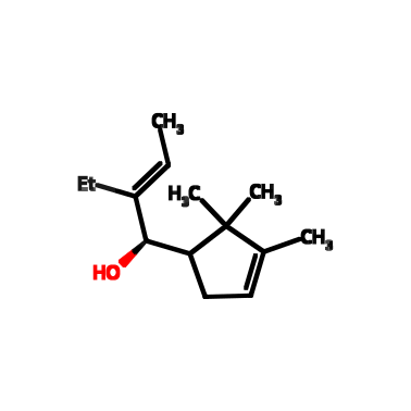 CC=C(CC)[C@H](O)C1CC=C(C)C1(C)C